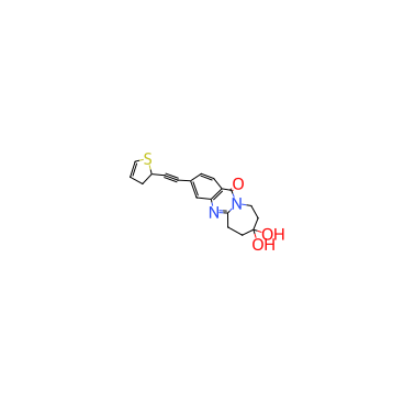 O=c1c2ccc(C#CC3CC=CS3)cc2nc2n1CCC(O)(O)CC2